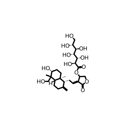 C=C1CC[C@@H]2C(C)(CO)[C@H](O)CC[C@@]2(C)[C@@H]1C/C=C1/C(=O)OCC1OC(=O)[C@@H](O)[C@@H](O)[C@H](O)[C@H](O)[C@H](O)CO